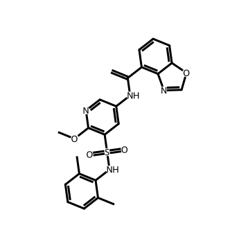 C=C(Nc1cnc(OC)c(S(=O)(=O)Nc2c(C)cccc2C)c1)c1cccc2ocnc12